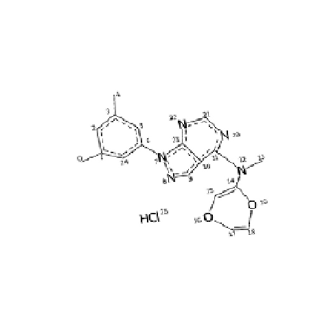 Cc1cc(C)cc(-n2ncc3c(N(C)C4=COC=CO4)ncnc32)c1.Cl